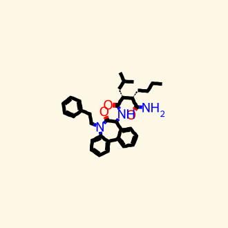 CCCC[C@H](C(N)=O)[C@@H](CC(C)C)C(=O)NC1C(=O)N(CCc2ccccc2)c2ccccc2-c2ccccc21